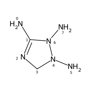 NC1=NCN(N)N1N